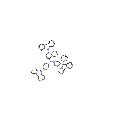 c1ccc(C2(c3ccc(N(c4ccc(-n5c6ccccc6c6ccccc65)cc4)c4ccc(-n5c6ccccc6c6ccccc65)c5ccccc45)cc3)c3ccccc3-c3ccccc32)cc1